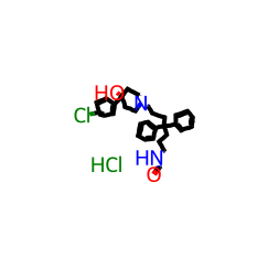 Cl.O=CNCCCC(CCCN1CCC(O)(c2ccc(Cl)cc2)CC1)(c1ccccc1)c1ccccc1